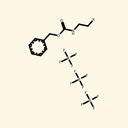 F[B-](F)(F)F.F[B-](F)(F)F.F[B-](F)(F)F.O=C(NC[CH2][K])OCc1ccccc1